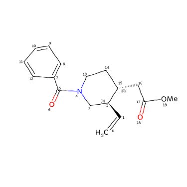 C=C[C@H]1CN(C(=O)c2ccccc2)CC[C@@H]1CC(=O)OC